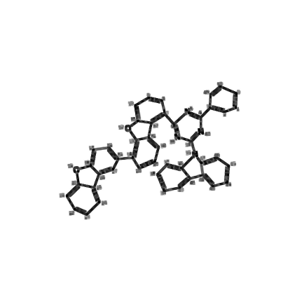 c1ccc(-c2nc(-c3cccc4oc5c(-c6ccc7oc8ccccc8c7c6)cccc5c34)nc(-n3c4ccccc4c4ccccc43)n2)cc1